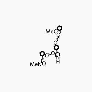 CNC(=O)CCc1ccccc1OCCOC1CNCCC1c1ccc(OCCCOCc2ccccc2OC)cc1